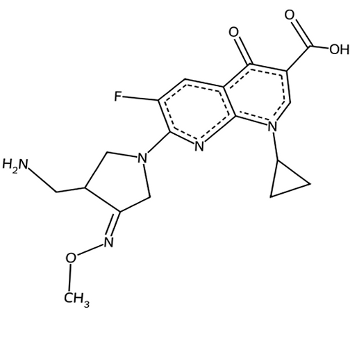 CON=C1CN(c2nc3c(cc2F)c(=O)c(C(=O)O)cn3C2CC2)CC1CN